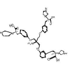 NC(COc1cccc(C[C@H](C(=O)O)[C@H]2CCNC2)c1)(COc1cccc(C[C@H](C(=O)O)[C@H]2CCNC2)c1)COc1cccc(C[C@H](C(=O)O)[C@H]2CCNC2)c1